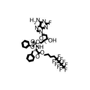 C[C@]1(COP(=O)(N[C@@H](Cc2ccccc2)C(=O)OCCCCC(F)(F)C(F)(F)C(F)(F)C(F)(F)F)Oc2ccccc2)O[C@@H](n2cnc3c(N)nc(F)nc32)C[C@@H]1O